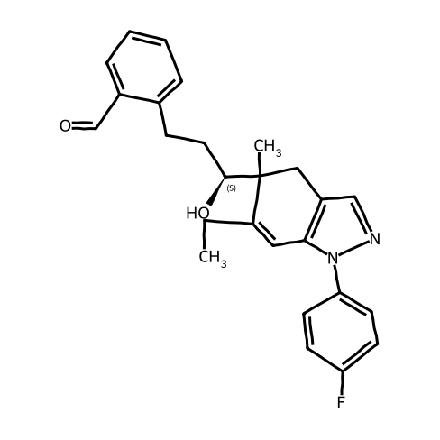 CCC1=Cc2c(cnn2-c2ccc(F)cc2)CC1(C)[C@@H](O)CCc1ccccc1C=O